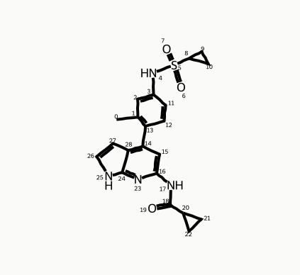 Cc1cc(NS(=O)(=O)C2CC2)ccc1-c1cc(NC(=O)C2CC2)nc2[nH]ccc12